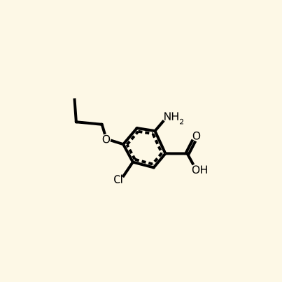 CCCOc1cc(N)c(C(=O)O)cc1Cl